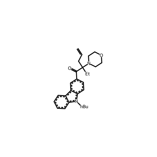 C=CCC(CC)(C(=O)c1ccc2c(c1)c1ccccc1n2CCCC)N1CCOCC1